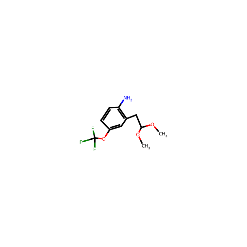 COC(Cc1cc(OC(F)(F)F)ccc1N)OC